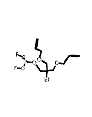 C=CCOCC(CC)(COCC=C)COP(OF)OF